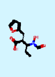 CC[C@@H]([C@@H](Cc1ccco1)C(=O)O)N(O)C=O